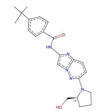 CC(C)(C)c1ccc(C(=O)Nc2cn3nc(N4CCC[C@H]4CO)ccc3n2)cc1